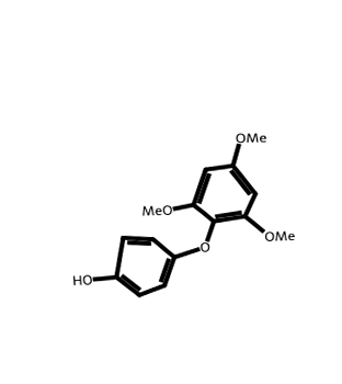 COc1cc(OC)c(Oc2ccc(O)cc2)c(OC)c1